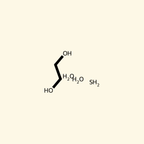 O.O.OCCO.S